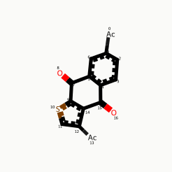 CC(=O)c1ccc2c(c1)C(=O)c1scc(C(C)=O)c1C2=O